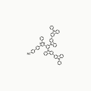 N#Cc1ccc(-c2ccc(-c3cc(-c4cc(-n5c6ccccc6c6cc(-c7ccc8c(c7)c7ccccc7n8-c7ccccc7)ccc65)cc(-n5c6ccccc6c6cc(-c7ccc8c(c7)c7ccccc7n8-c7ccccc7)ccc65)c4)nc(-c4ccccc4)n3)cc2)cc1